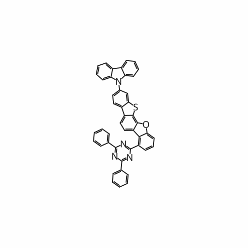 c1ccc(-c2nc(-c3ccccc3)nc(-c3cccc4oc5c(ccc6c7ccc(-n8c9ccccc9c9ccccc98)cc7sc65)c34)n2)cc1